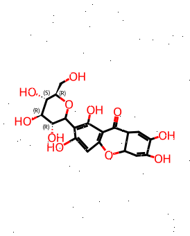 O=C1c2c(cc(O)c(C3O[C@H](CO)[C@@H](O)[C@H](O)[C@H]3O)c2O)OC2C=C(O)C(O)=CC12